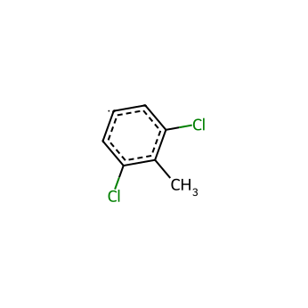 Cc1c(Cl)c[c]cc1Cl